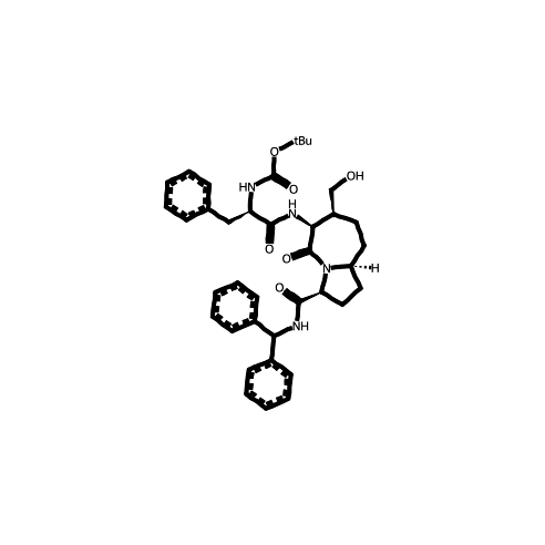 CC(C)(C)OC(=O)N[C@H](Cc1ccccc1)C(=O)N[C@@H]1C(=O)N2[C@@H](CC[C@@H]1CO)CC[C@H]2C(=O)NC(c1ccccc1)c1ccccc1